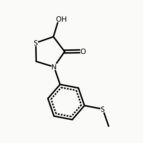 CSc1cccc(N2CSC(O)C2=O)c1